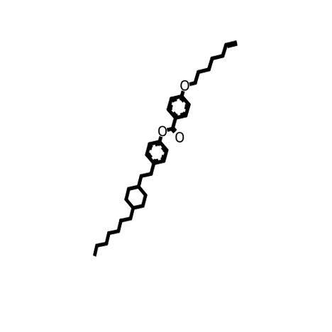 C=CCCCCCOc1ccc(C(=O)Oc2ccc(CCC3CCC(CCCCCCC)CC3)cc2)cc1